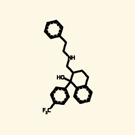 OC1(c2ccc(C(F)(F)F)cc2)c2ccccc2CCC1CNCCc1ccccc1